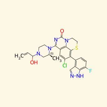 C=CC(O)N1CCN(c2nc(=O)n3c4c(c(-c5ccc(F)c6[nH]ncc56)c(Cl)cc24)SCC3)[C@@H](C)C1